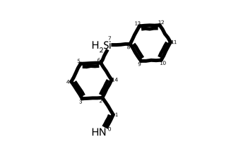 N=Cc1cccc([SiH2]c2ccccc2)c1